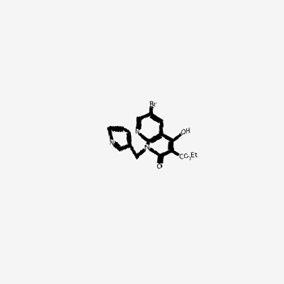 CCOC(=O)c1c(O)c2cc(Br)cnc2n(Cc2cccnc2)c1=O